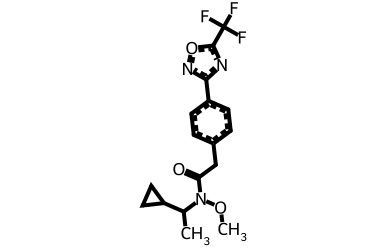 CON(C(=O)Cc1ccc(-c2noc(C(F)(F)F)n2)cc1)C(C)C1CC1